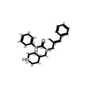 C/C(=C\c1ccccc1)CN(CC1CCNCC1)C(=O)NC1=CCC=CC1